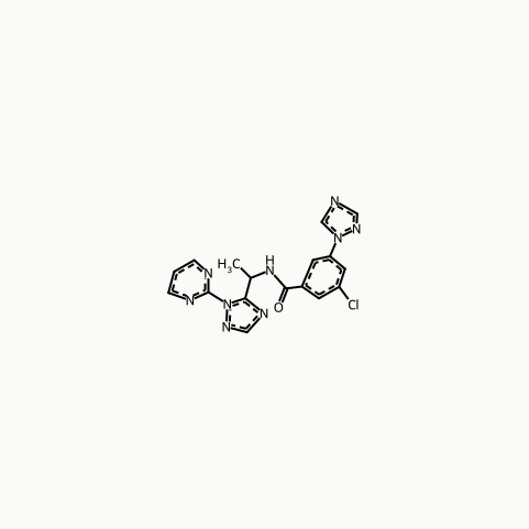 CC(NC(=O)c1cc(Cl)cc(-n2cncn2)c1)c1ncnn1-c1ncccn1